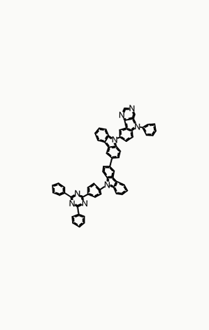 c1ccc(-c2nc(-c3ccccc3)nc(-c3ccc(-n4c5ccccc5c5cc(-c6ccc7c(c6)c6ccccc6n7-c6ccc7c(c6)c6ncncc6n7-c6ccccc6)ccc54)cc3)n2)cc1